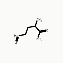 CC(CC[PH2]=O)C(N)=O